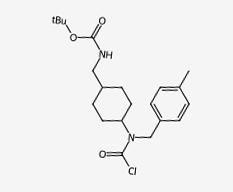 Cc1ccc(CN(C(=O)Cl)C2CCC(CNC(=O)OC(C)(C)C)CC2)cc1